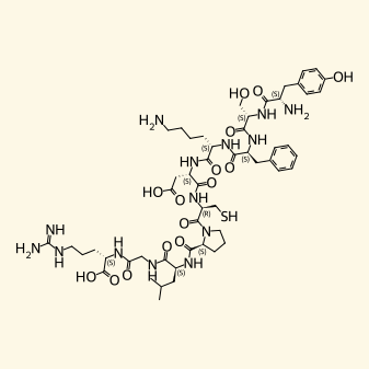 CC(C)C[C@H](NC(=O)[C@@H]1CCCN1C(=O)[C@H](CS)NC(=O)[C@H](CC(=O)O)NC(=O)[C@H](CCCCN)NC(=O)[C@H](Cc1ccccc1)NC(=O)[C@H](CO)NC(=O)[C@@H](N)Cc1ccc(O)cc1)C(=O)NCC(=O)N[C@@H](CCCNC(=N)N)C(=O)O